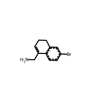 NCC1=CCCc2cc(Br)ccc21